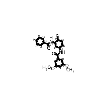 COc1cc(OC)cc(C(=O)Nc2ccc(Cl)c(NC(=O)c3ccccc3)c2)c1